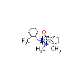 Cn1c2c(c(=O)n1Cc1ccccc1C(F)(F)F)C1CCC2(C)C1(C)C